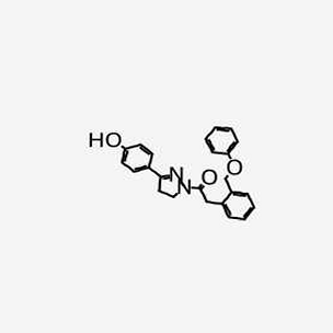 O=C(Cc1ccccc1COc1ccccc1)N1CCC(c2ccc(O)cc2)=N1